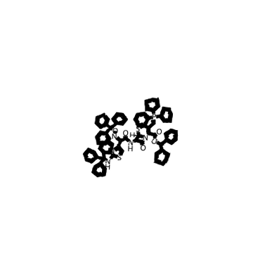 O=C(OC(c1ccccc1)c1ccccc1)C1=C(C=P(c2ccccc2)(c2ccccc2)c2ccccc2)CS[C@H]2C(NC(=O)/C(=N\OC(c3ccccc3)(c3ccccc3)c3ccccc3)c3csc(NC(c4ccccc4)(c4ccccc4)c4ccccc4)n3)C(=O)N12